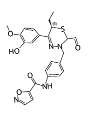 CC[C@H]1SC(C=O)N(Cc2ccc(NC(=O)c3ccno3)cc2)N=C1c1ccc(OC)c(O)c1